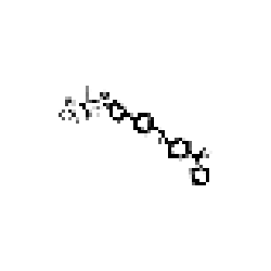 CC(C)[C@@H](NS(=O)(=O)c1ccc(-c2ccc(COc3ccc(C(=O)c4ccccc4)cc3)cc2)cc1)C(=O)O